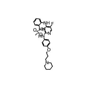 CS(=O)(=O)Nc1ccccc1Nc1nc(Nc2ccc(OCCCN3CCCCC3)cc2)ncc1F